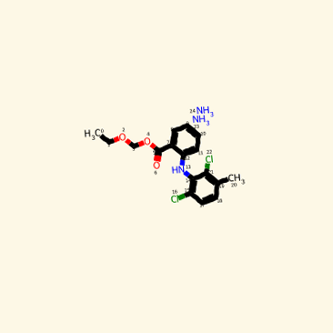 CCOCOC(=O)c1ccccc1Nc1c(Cl)ccc(C)c1Cl.N.N